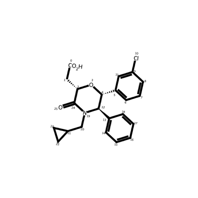 O=C(O)C[C@@H]1O[C@H](c2cccc(Cl)c2)[C@@H](c2ccccc2)N(CC2CC2)C1=O